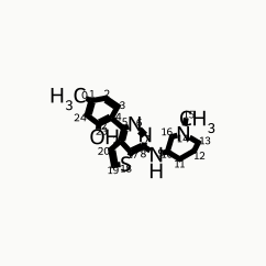 Cc1ccc(-c2nnc(NC3CCCN(C)C3)c3sccc23)c(O)c1